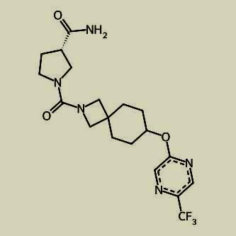 NC(=O)[C@H]1CCN(C(=O)N2CC3(CCC(Oc4cnc(C(F)(F)F)cn4)CC3)C2)C1